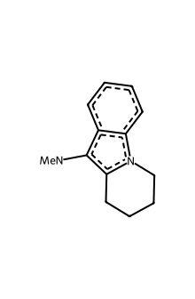 CNc1c2n(c3ccccc13)CCCC2